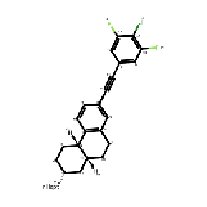 CCCCCCC[C@@H]1CC[C@@H]2c3ccc(C#Cc4cc(F)c(Cl)c(F)c4)cc3CC[C@@H]2C1